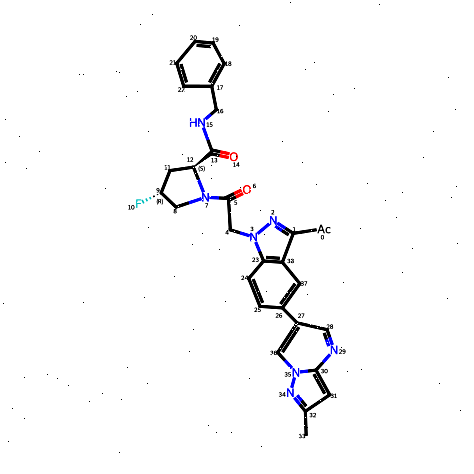 CC(=O)c1nn(CC(=O)N2C[C@H](F)C[C@H]2C(=O)NCc2ccccc2)c2ccc(-c3cnc4cc(C)nn4c3)cc12